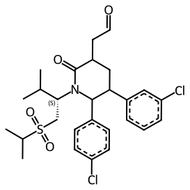 CC(C)[C@@H](CS(=O)(=O)C(C)C)N1C(=O)C(CC=O)CC(c2cccc(Cl)c2)C1c1ccc(Cl)cc1